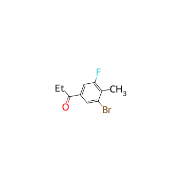 CCC(=O)c1cc(F)c(C)c(Br)c1